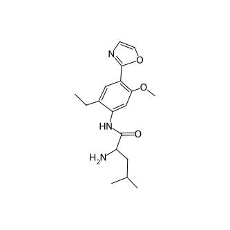 CCc1cc(-c2ncco2)c(OC)cc1NC(=O)C(N)CC(C)C